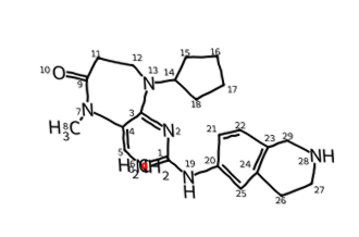 C=C(/N=C1\C(=C/N)N(C)C(=O)CCN1C1CCCC1)Nc1ccc2c(c1)CCNC2